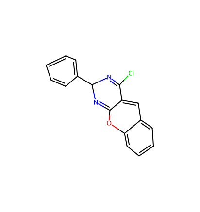 ClC1=NC(c2ccccc2)N=C2Oc3ccccc3C=C12